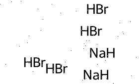 Br.Br.Br.Br.[NaH].[NaH]